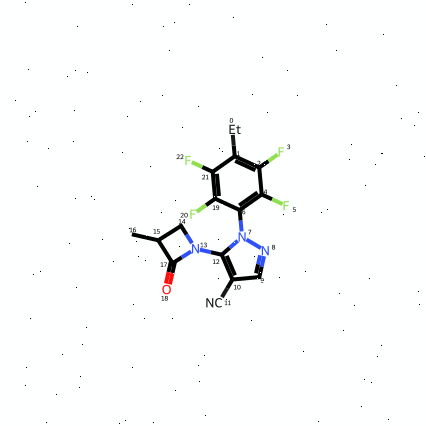 CCc1c(F)c(F)c(-n2ncc(C#N)c2N2CC(C)C2=O)c(F)c1F